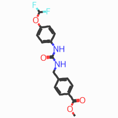 COC(=O)c1ccc(CNC(=O)Nc2ccc(OC(F)F)cc2)cc1